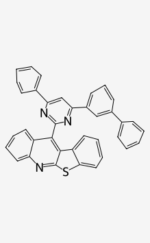 c1ccc(-c2cccc(-c3cc(-c4ccccc4)nc(-c4c5ccccc5nc5sc6ccccc6c45)n3)c2)cc1